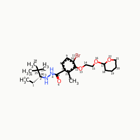 CC[C@@H](NNC(=O)c1ccc(Br)c(OCCOC2CCCCO2)c1C)C(C)(C)C